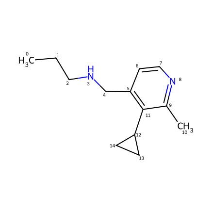 CCCNCc1ccnc(C)c1C1CC1